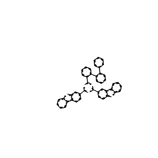 c1ccc(-c2ccccc2-c2ccccc2-c2nc(-c3ccc4c(c3)oc3ccccc34)nc(-c3ccc4oc5ccccc5c4c3)n2)cc1